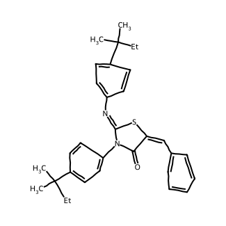 CCC(C)(C)c1ccc(N=C2SC(=Cc3ccccc3)C(=O)N2c2ccc(C(C)(C)CC)cc2)cc1